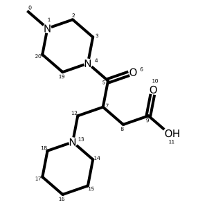 CN1CCN(C(=O)C(CC(=O)O)CN2CCCCC2)CC1